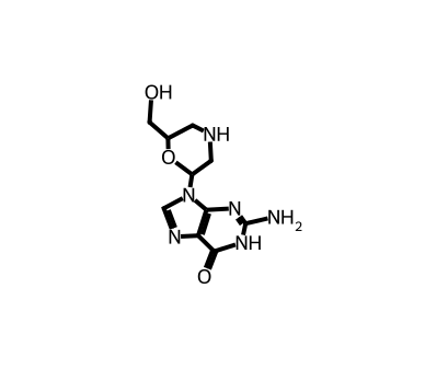 Nc1nc2c(ncn2C2CNCC(CO)O2)c(=O)[nH]1